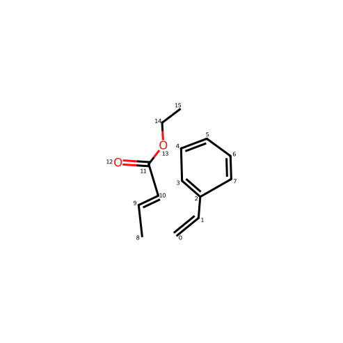 C=Cc1ccccc1.CC=CC(=O)OCC